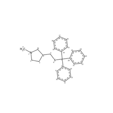 CN1CCC(CSC(c2ccccc2)(c2ccccc2)c2ccccc2)C1